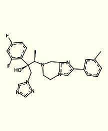 Cc1cccc(-c2cn3c(n2)CN([C@H](C)[C@](O)(Cn2cncn2)c2ccc(F)cc2F)CC3)c1